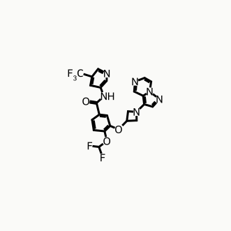 O=C(Nc1cncc(C(F)(F)F)c1)c1ccc(OC(F)F)c(OC2CN(c3cnn4ccncc34)C2)c1